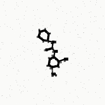 O=C(Nc1ccncc1)Nc1ccc([N+](=O)[O-])cc1O